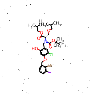 CC(C)COC[C@@H](C(=O)OCC(C)C)N(Cc1cc(Cl)c(OCc2cccc(I)c2Br)cc1O)C(=O)OC(C)(C)C